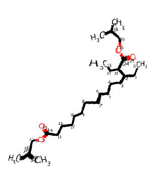 CCC(CCCCCCCCCCCC(=O)OCC(C)C)C(CC)C(=O)OCC(C)C